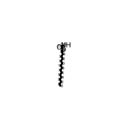 CCCCCCCCCCCCCCCCOC([NH])=O